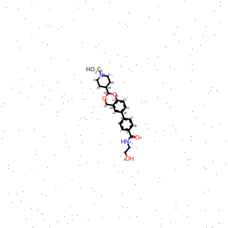 O=C(NCCO)c1ccc(-c2ccc3c(c2)COC(C2CCN(C(=O)O)CC2)O3)cc1